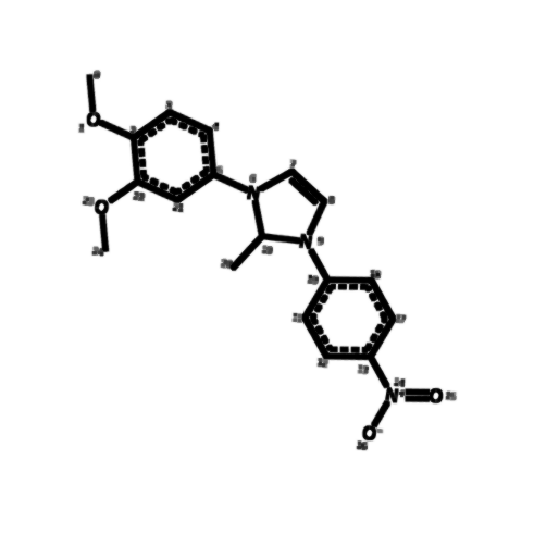 COc1ccc(N2C=CN(c3ccc([N+](=O)[O-])cc3)C2C)cc1OC